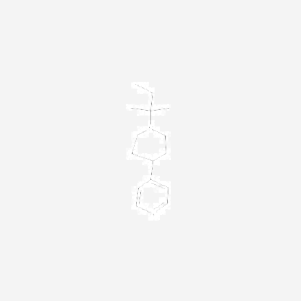 CCC(C)(C)N1CCC(c2ccncc2)CC1